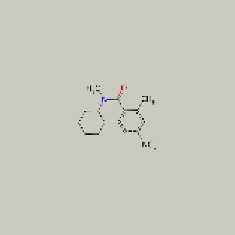 Cc1cc([N+](=O)[O-])ccc1C(=O)N(C)C1CCCCC1